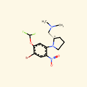 CN(C)C[C@@H]1CCCN1c1cc(OC(F)F)c(Br)cc1[N+](=O)[O-]